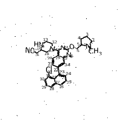 CN1CCCC1COc1nc(N2CCNC(CC#N)C2)c2ccc(-c3cccc4cccc(Cl)c34)cc2n1